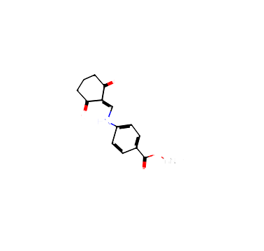 CCCCCCCCCOC(=O)c1ccc(NC=C2C(=O)CCCC2=O)cc1